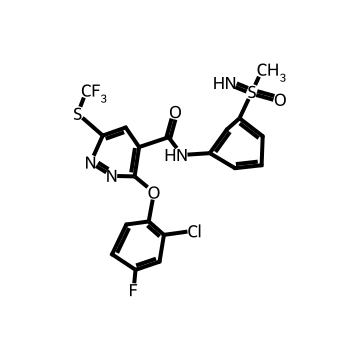 CS(=N)(=O)c1cccc(NC(=O)c2cc(SC(F)(F)F)nnc2Oc2ccc(F)cc2Cl)c1